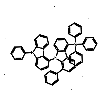 c1ccc(-c2cccc3c4c([Si](c5ccccc5)(c5ccccc5)c5ccccc5)cccc4n(-c4cccc5c4c4ccccc4n5-c4ccccc4)c23)cc1